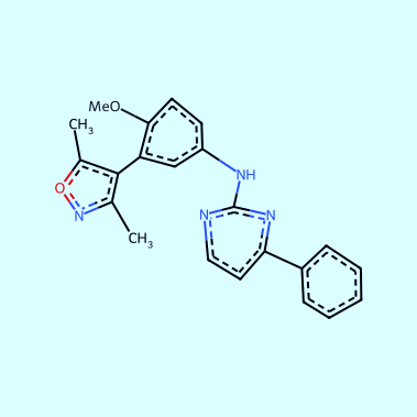 COc1ccc(Nc2nccc(-c3ccccc3)n2)cc1-c1c(C)noc1C